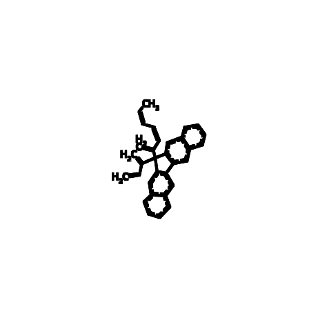 C=CC(=C)C1(C(=C)/C=C\C=C/C)c2cc3ccccc3cc2-c2cc3ccccc3cc21